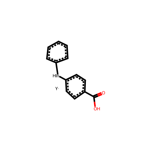 O=C(O)c1cc[c]([InH][c]2ccccc2)cc1.[Y]